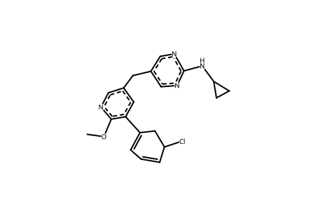 COc1ncc(Cc2cnc(NC3CC3)nc2)cc1C1=CC=CC(Cl)C1